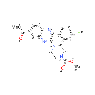 COC(=O)c1ccc2nc(-c3ccc(F)cc3)c(N3CCN(C(=O)OC(C)(C)C)CC3)nc2c1